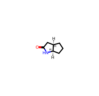 O=C1C[C@H]2CCC[C@H]2N1